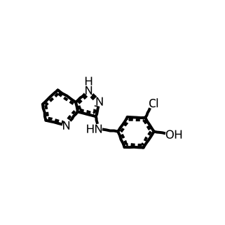 Oc1ccc(Nc2n[nH]c3cccnc23)cc1Cl